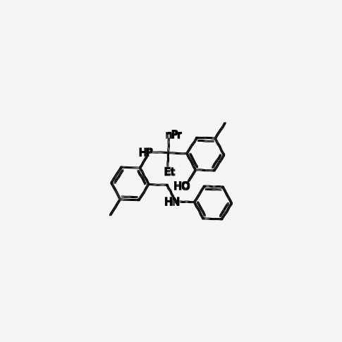 CCCC(CC)(Pc1ccc(C)cc1CNc1ccccc1)c1cc(C)ccc1O